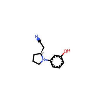 N#CC[C@@H]1CCCN1c1cccc(O)c1